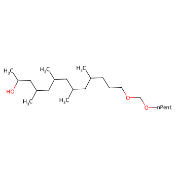 CCCCCOCOCCCC(C)CC(C)CC(C)CC(C)CC(C)O